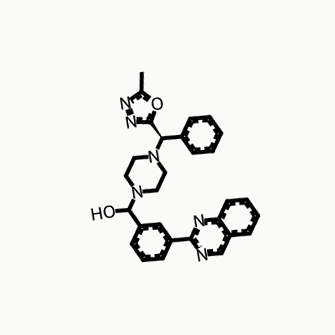 Cc1nnc([C@@H](c2ccccc2)N2CCN(C(O)c3cccc(-c4ncc5ccccc5n4)c3)CC2)o1